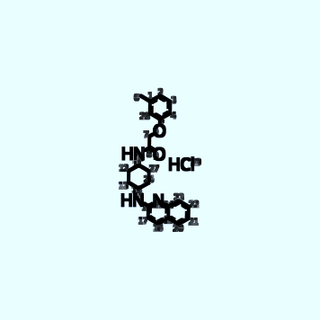 Cc1cccc(OCC(=O)N[C@H]2CC[C@@H](Nc3ccc4ccccc4n3)CC2)c1.Cl